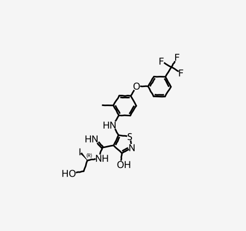 Cc1cc(Oc2cccc(C(F)(F)F)c2)ccc1Nc1snc(O)c1C(=N)N[C@H](I)CO